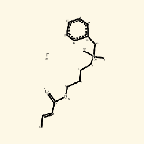 CC=CC(=O)OCCCC[N+](C)(C)Cc1ccccc1.[I-]